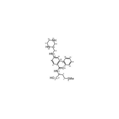 CSCCC(NC(=O)c1ccc(NCC2CNCCN2)cc1-c1ccccc1)C(=O)O